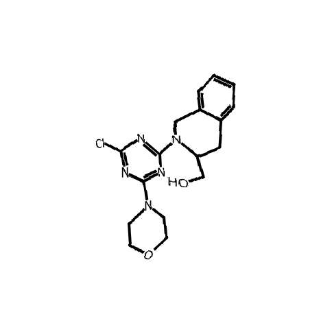 OCC1Cc2ccccc2CN1c1nc(Cl)nc(N2CCOCC2)n1